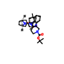 Cc1ccc(C2(CCN3[C@@H]4CC[C@H]3CC(n3c(C)nc5ccccc53)C4)CCN(C(=O)OC(C)(C)C)CC2)cc1